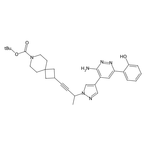 CC(C#CC1CC2(CCN(C(=O)OC(C)(C)C)CC2)C1)n1cc(-c2cc(-c3ccccc3O)nnc2N)cn1